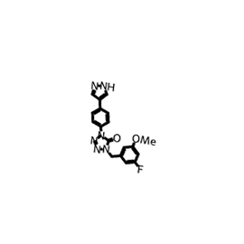 COc1cc(F)cc(Cn2nnn(-c3ccc(-c4cn[nH]c4)cc3)c2=O)c1